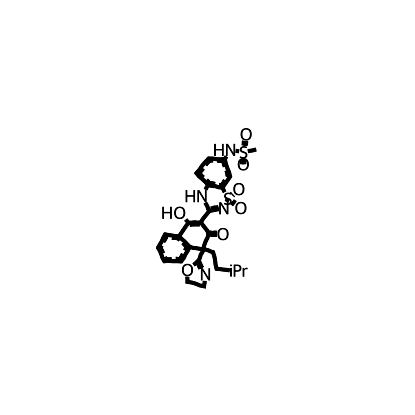 CC(C)CCC1(C2=NCCO2)C(=O)C(C2=NS(=O)(=O)c3cc(NS(C)(=O)=O)ccc3N2)=C(O)c2ccccc21